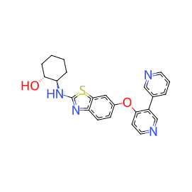 O[C@@H]1CCCC[C@H]1Nc1nc2ccc(Oc3ccncc3-c3cccnc3)cc2s1